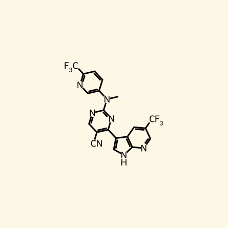 CN(c1ccc(C(F)(F)F)nc1)c1ncc(C#N)c(-c2c[nH]c3ncc(C(F)(F)F)cc23)n1